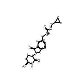 O=C1CCC(N2Cc3ccc(CNC(=O)OCC4CC4)cc3C2=O)C(=O)N1